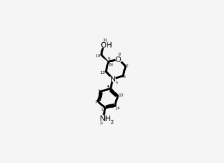 Nc1ccc(N2CCO[C@H](CO)C2)cc1